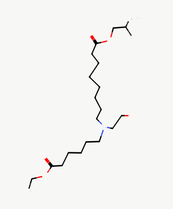 CCCCCCCCCCCOC(=O)CCCCCN(CCO)CCCCCCCC(=O)OCC(CCCCCCC)CCCCCCCC